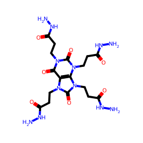 NNC(=O)CCn1c(=O)c2c(n(CCC(=O)NN)c1=O)n(CCC(=O)NN)c(=O)n2CCC(=O)NN